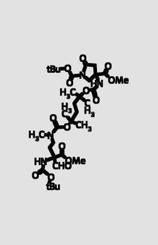 COC(=O)C(C=O)(CCN(C)C(=O)OC(C)(C)CCC(C)(C)OC(=O)NC1(C(=O)OC)CC(=O)N(C(=O)OC(C)(C)C)C1)NC(=O)OC(C)(C)C